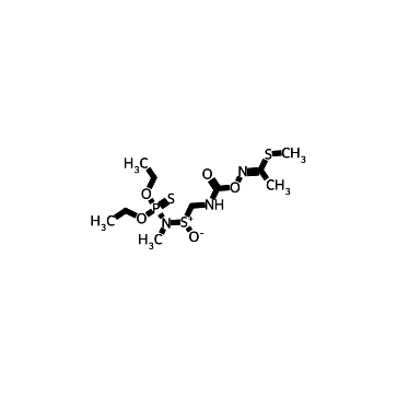 CCOP(=S)(OCC)N(C)[S+]([O-])CNC(=O)O/N=C(\C)SC